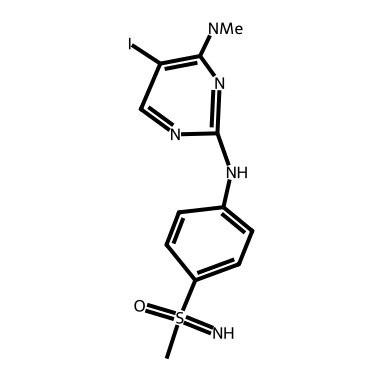 CNc1nc(Nc2ccc(S(C)(=N)=O)cc2)ncc1I